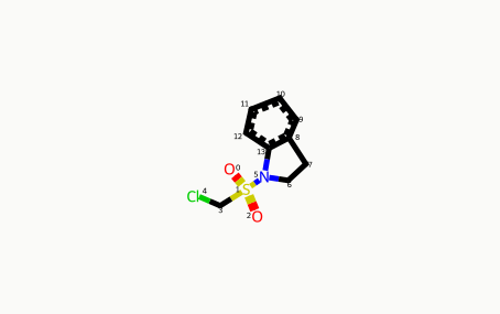 O=S(=O)(CCl)N1CCc2c[c]ccc21